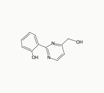 OCc1ccnc(-c2ccccc2O)n1